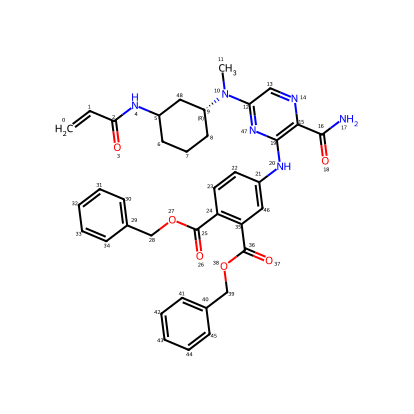 C=CC(=O)NC1CCC[C@@H](N(C)c2cnc(C(N)=O)c(Nc3ccc(C(=O)OCc4ccccc4)c(C(=O)OCc4ccccc4)c3)n2)C1